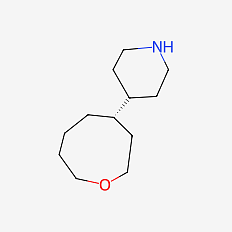 C1CC[C@H](C2CCNCC2)CCOC1